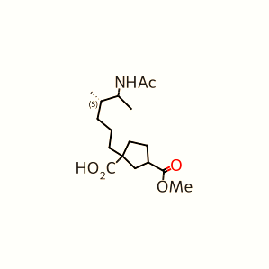 COC(=O)C1CCC(CCC[C@H](C)C(C)NC(C)=O)(C(=O)O)C1